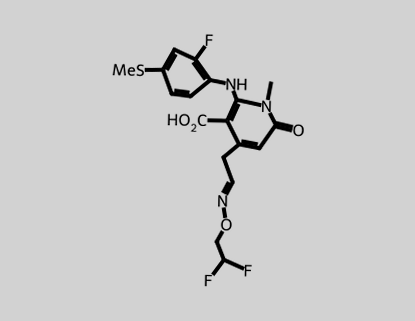 CSc1ccc(Nc2c(C(=O)O)c(C/C=N/OCC(F)F)cc(=O)n2C)c(F)c1